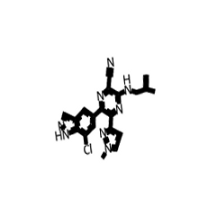 C=C(C)CNc1nc(-c2ccn(C)n2)c(-c2cc(Cl)c3[nH]ncc3c2)nc1C#N